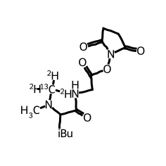 [2H][13C]([2H])([2H])N(C)C(C(=O)NCC(=O)ON1C(=O)CCC1=O)C(C)CC